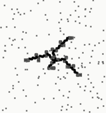 O=CCCOCC(COCCC(=O)OCCCNC(=O)CCCCO)(COCCC(=O)OCCCNC(=O)CCCCO)COCCC(=O)OCCCNC(=O)CCCCO